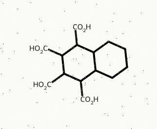 O=C(O)C1C2CCCCC2C(C(=O)O)C(C(=O)O)C1C(=O)O